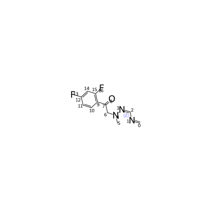 C=N/C=N\N(C)CC(=O)c1ccc(F)cc1F